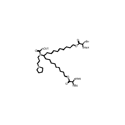 CCCCCCCCC(=O)N(CCCN1CCCC1)C(CCCCCCCCCOC(=O)C(CCCC)CCCCCC)CCCCCCCCCOC(=O)C(CCCC)CCCCCC